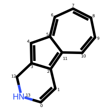 C1=Cc2c(cc3cccccc2-3)CN1